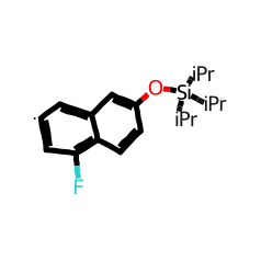 CC(C)[Si](Oc1ccc2c(F)c[c]cc2c1)(C(C)C)C(C)C